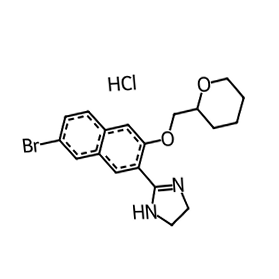 Brc1ccc2cc(OCC3CCCCO3)c(C3=NCCN3)cc2c1.Cl